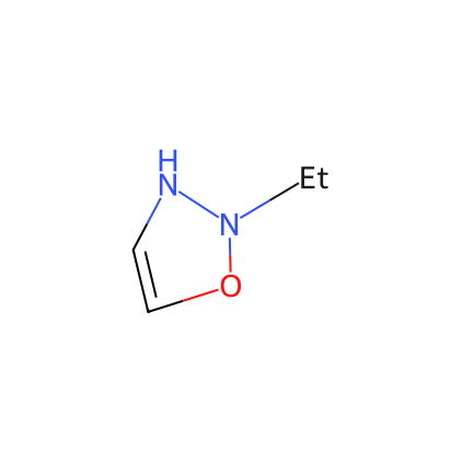 [CH2]CN1NC=CO1